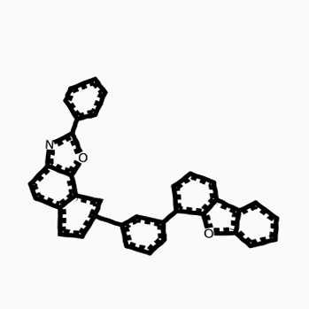 c1ccc(-c2nc3ccc4ccc(-c5cccc(-c6cccc7c6oc6ccccc67)c5)cc4c3o2)cc1